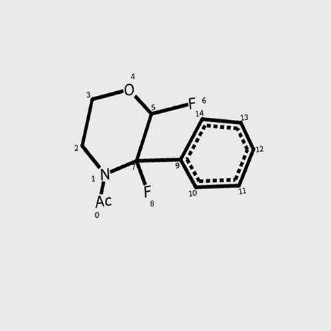 CC(=O)N1CCOC(F)C1(F)c1ccccc1